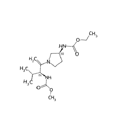 C=C([C@@H](NC(=O)OC)C(C)C)N1CC[C@H](NC(=O)OCC)C1